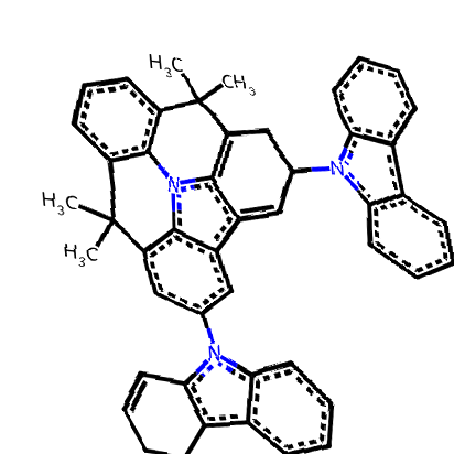 CC1(C)C2=c3c(c4cc(-n5c6c(c7ccccc75)CCC=C6)cc5c4n3-c3c1cccc3C5(C)C)=CC(n1c3ccccc3c3ccccc31)C2